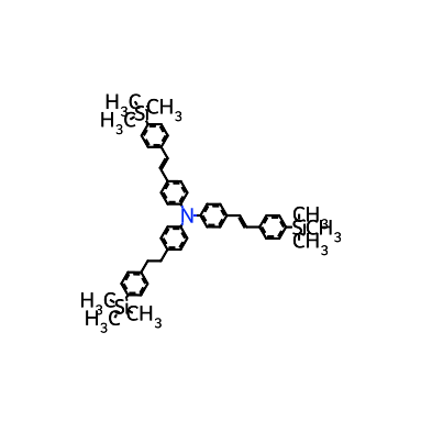 C[Si](C)(C)c1ccc(/C=C/c2ccc(N(c3ccc(/C=C/c4ccc([Si](C)(C)C)cc4)cc3)c3ccc(CCc4ccc([Si](C)(C)C)cc4)cc3)cc2)cc1